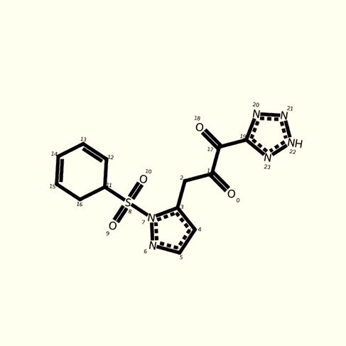 O=C(Cc1ccnn1S(=O)(=O)C1C=CC=CC1)C(=O)c1nn[nH]n1